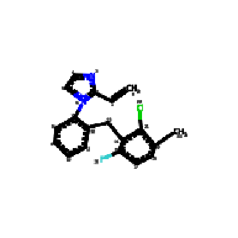 C=Cc1nccn1-c1ccccc1Cc1c(F)ccc(C)c1Cl